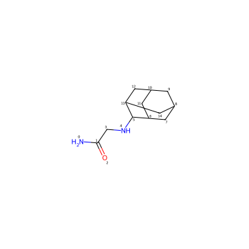 NC(=O)CNC1C2CC3CC(C2)CC1C3